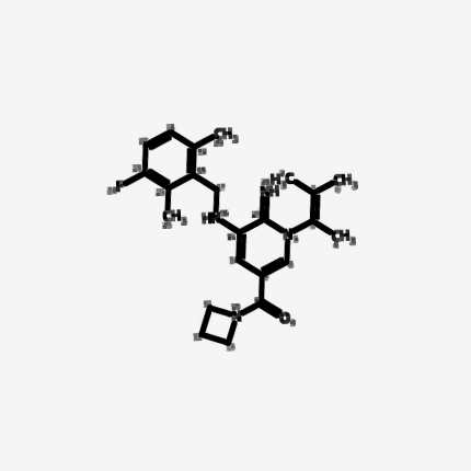 CC(C)=C(C)n1cc(C(=O)N2CCC2)cc(NCc2c(C)ccc(F)c2C)c1=N